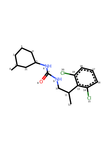 CC1CCCC(NC(=O)NCC(C)c2c(Cl)cccc2Cl)C1